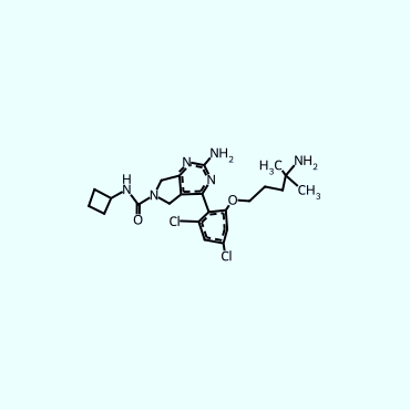 CC(C)(N)CCCOc1cc(Cl)cc(Cl)c1-c1nc(N)nc2c1CN(C(=O)NC1CCC1)C2